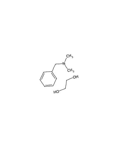 CN(C)Cc1ccccc1.OCCO